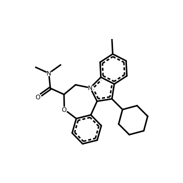 Cc1ccc2c(C3CCCCC3)c3n(c2c1)CC(C(=O)N(C)C)Oc1ccccc1-3